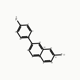 Fc1ccc(-c2ccc3ccc(F)cc3c2)cc1